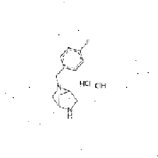 Cl.Cl.Fc1ccc(CN2CC3CC2CN3)cc1